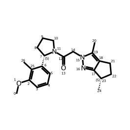 COc1cccc([C@@H]2CCCN2C(=O)Cn2nc3c(c2C)CC[C@@H]3C)c1C